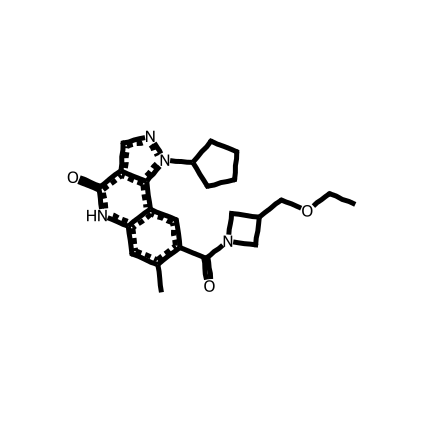 CCOCC1CN(C(=O)c2cc3c(cc2C)[nH]c(=O)c2cnn(C4CCCC4)c23)C1